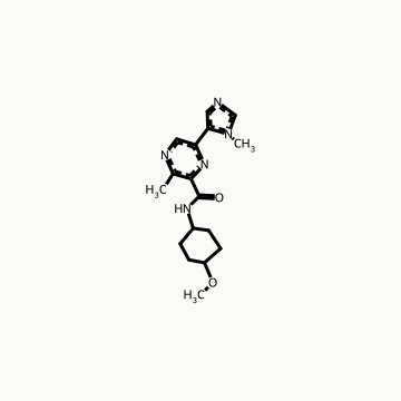 COC1CCC(NC(=O)c2nc(-c3cncn3C)cnc2C)CC1